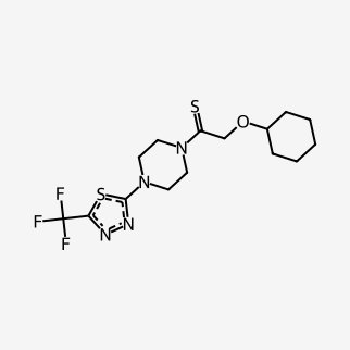 FC(F)(F)c1nnc(N2CCN(C(=S)COC3CCCCC3)CC2)s1